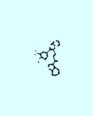 COc1ccc(-c2nc3sccn3c2C=CC(=O)c2c[nH]c3ccccc23)cc1[N+](=O)[O-]